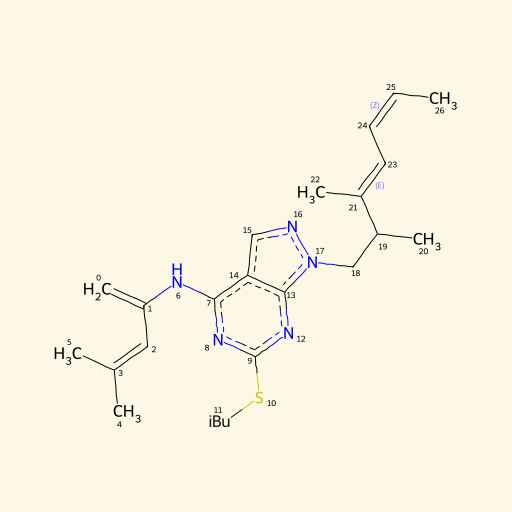 C=C(C=C(C)C)Nc1nc(SC(C)CC)nc2c1cnn2CC(C)/C(C)=C/C=C\C